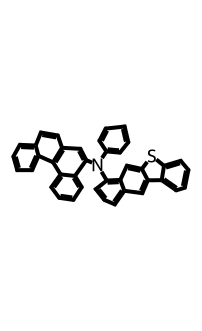 c1ccc(N(c2cccc3cc4c(cc23)sc2ccccc24)c2cc3ccc4ccccc4c3c3ccccc23)cc1